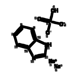 O=P([O-])([O-])O.[Na+].[Na+].c1ccc2[nH]cnc2c1